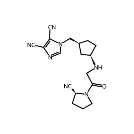 N#Cc1ncn(C[C@H]2CC[C@@H](NCC(=O)N3CCC[C@H]3C#N)C2)c1C#N